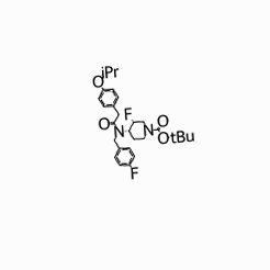 CC(C)Oc1ccc(CC(=O)N(Cc2ccc(F)cc2)[C@H]2CCN(C(=O)OC(C)(C)C)C[C@H]2F)cc1